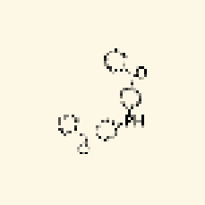 O=C(c1ccccc1)c1ccc(Pc2ccc(C(=O)c3ccccc3)cc2)cc1